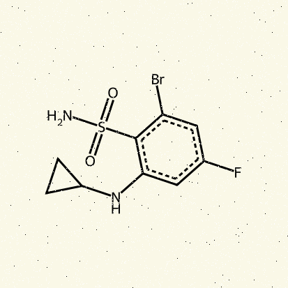 NS(=O)(=O)c1c(Br)cc(F)cc1NC1CC1